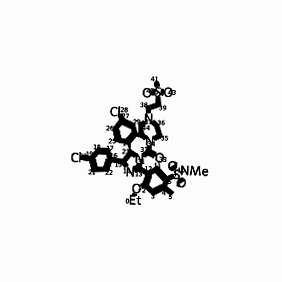 CCOc1cc(C)c(S(=O)(=O)NC)cc1C1=NC(c2ccc(Cl)cc2)[C@@H](c2ccc(Cl)cc2)N1C(=O)N1CCN(CCS(C)(=O)=O)CC1